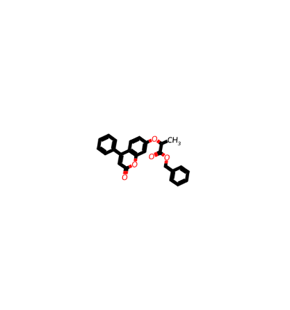 CC(Oc1ccc2c(-c3ccccc3)cc(=O)oc2c1)C(=O)OCc1ccccc1